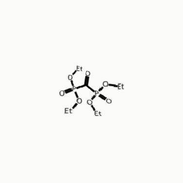 CCOP(=O)(OCC)C(=O)P(=O)(OCC)OCC